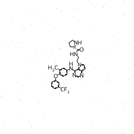 Cc1cc(Nc2ncnc3ccn(CCNC(=O)[C@@H]4CCCN4)c23)ccc1Oc1cccc(C(F)(F)F)c1